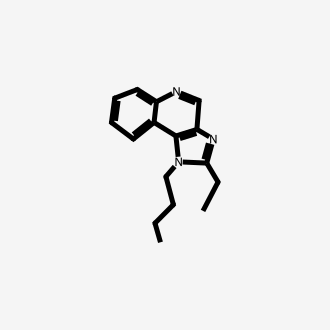 CCCCn1c(CC)nc2cnc3ccccc3c21